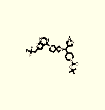 Cn1cc(C(C2CCN(C(=O)OC(C)(C)C)CC2)N2CC3(CCN(c4ncnc5sc(CC(F)(F)F)cc45)C3)C2)cn1